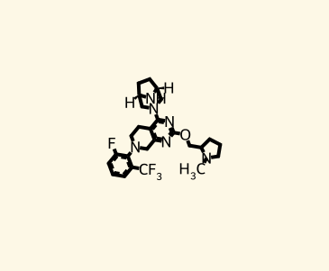 CN1CCCC1COc1nc2c(c(N3C[C@H]4CC[C@@H](C3)N4)n1)CCN(c1c(F)cccc1C(F)(F)F)C2